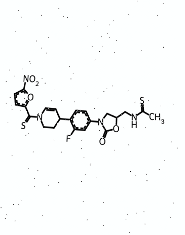 CC(=S)NCC1CN(c2ccc(C3C=CN(C(=S)c4ccc([N+](=O)[O-])o4)CC3)c(F)c2)C(=O)O1